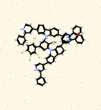 N#Cc1c(-n2c3cc(-c4ccnc(-c5ccccc5)c4)ccc3c3ccc(-c4ccnc(-c5ccccc5)c4)cc32)cc(-c2c(F)c(F)c(F)c(F)c2F)cc1-n1c2cc(-c3ccnc(-c4ccccc4)c3)ccc2c2ccc(-c3ccnc(-c4ccccc4)c3)cc21